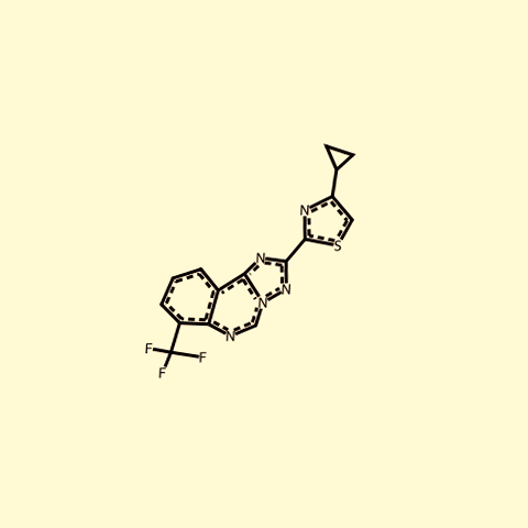 FC(F)(F)c1cccc2c1ncn1nc(-c3nc(C4CC4)cs3)nc21